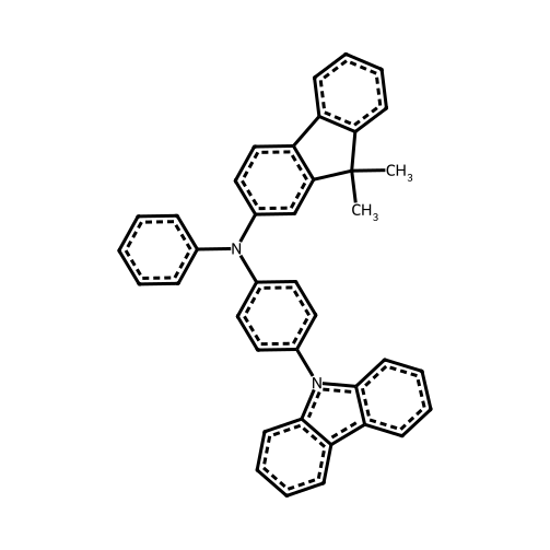 CC1(C)c2ccccc2-c2ccc(N(c3ccccc3)c3ccc(-n4c5ccccc5c5ccccc54)cc3)cc21